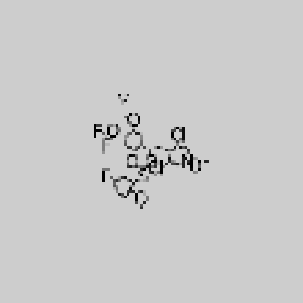 COc1ccc(F)cc1SC(=O)OC(Cc1c(Cl)c[n+]([O-])cc1Cl)c1ccc(OC(F)F)c(OCC2CC2)c1